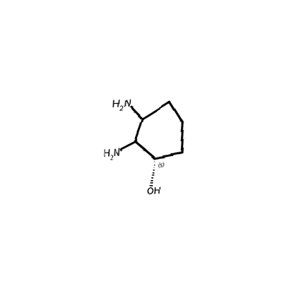 NC1CCC[C@H](O)C1N